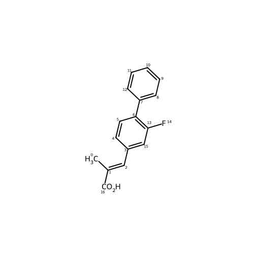 C/C(=C\c1ccc(-c2ccccc2)c(F)c1)C(=O)O